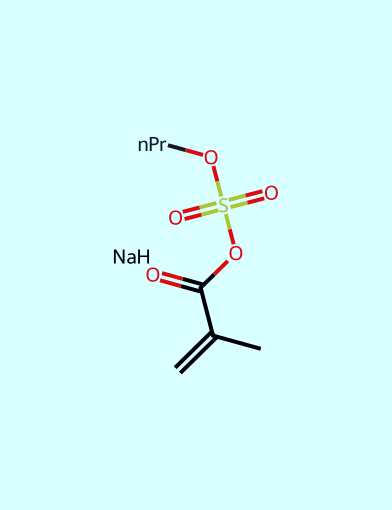 C=C(C)C(=O)OS(=O)(=O)OCCC.[NaH]